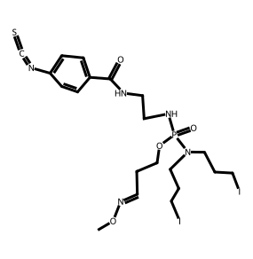 CO/N=C/CCOP(=O)(NCCNC(=O)c1ccc(N=C=S)cc1)N(CCCI)CCCI